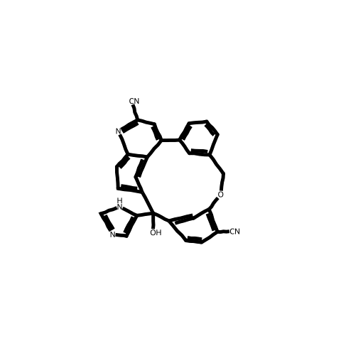 N#Cc1cc2c3cc(ccc3n1)C(O)(c1cnc[nH]1)c1ccc(C#N)c(c1)OCc1cccc-2c1